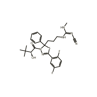 CN/C(=N/C#N)NCCCC1(c2ccccc2)SC(c2cc(F)ccc2F)=NN1C(=O)[C@@H](O)C(C)(C)C